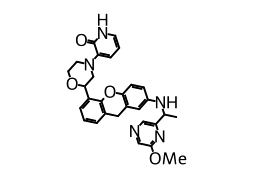 COc1cncc(C(C)Nc2ccc3c(c2)Cc2cccc(C4CN(c5ccc[nH]c5=O)CCO4)c2O3)n1